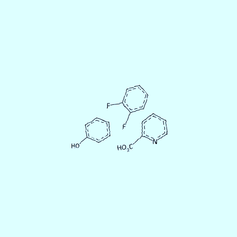 Fc1ccccc1F.O=C(O)c1ccccn1.Oc1ccccc1